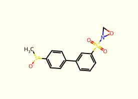 C[S+]([O-])c1ccc(-c2cccc(S(=O)(=O)N3CO3)c2)cc1